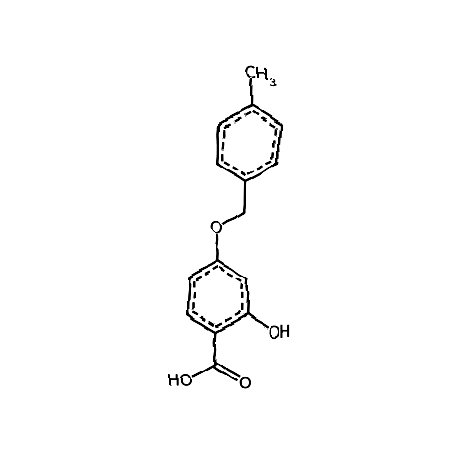 Cc1ccc(COc2ccc(C(=O)O)c(O)c2)cc1